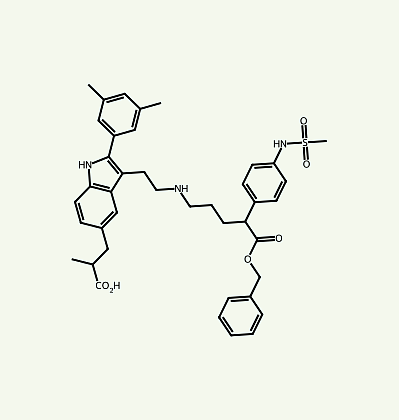 Cc1cc(C)cc(-c2[nH]c3ccc(CC(C)C(=O)O)cc3c2CCNCCCC(C(=O)OCc2ccccc2)c2ccc(NS(C)(=O)=O)cc2)c1